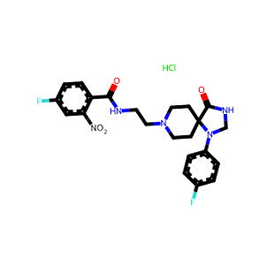 Cl.O=C(NCCN1CCC2(CC1)C(=O)NCN2c1ccc(F)cc1)c1ccc(F)cc1[N+](=O)[O-]